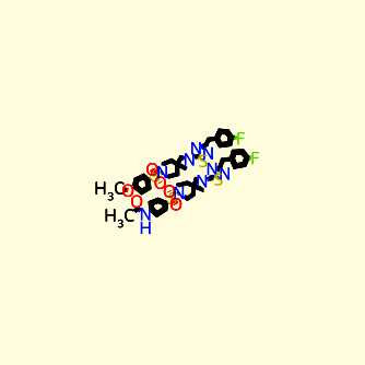 CC(=O)Nc1ccc(S(=O)(=O)N2CCC3(CC2)CN(c2nc(Cc4ccc(F)cc4)ns2)C3)cc1.COc1ccc(S(=O)(=O)N2CCC3(CC2)CN(c2nc(Cc4ccc(F)cc4)ns2)C3)cc1